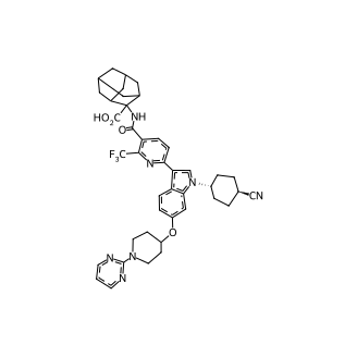 N#C[C@H]1CC[C@H](n2cc(-c3ccc(C(=O)NC4(C(=O)O)C5CC6CC(C5)CC4C6)c(C(F)(F)F)n3)c3ccc(OC4CCN(c5ncccn5)CC4)cc32)CC1